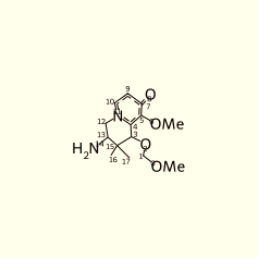 COCOC1c2c(OC)c(=O)ccn2CC(N)C1(C)C